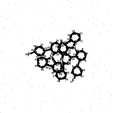 Fc1ccc(-c2cccc(-n3c4ccccc4c4ccccc43)c2-c2cc(-c3cccc(-c4ccc(F)cc4)c3-n3c4ccccc4c4ccccc43)nc(-c3ccccc3)n2)cc1